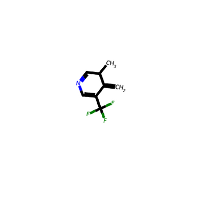 C=C1C(C(F)(F)F)=CN=CC1C